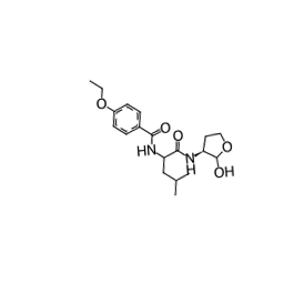 CCOc1ccc(C(=O)NC(CC(C)C)C(=O)N[C@H]2CCOC2O)cc1